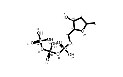 CC1C[C@H](O)C(COP(=O)(O)OP(=O)(O)OP(=O)(O)O)O1